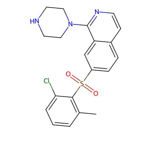 Cc1cccc(Cl)c1S(=O)(=O)c1ccc2ccnc(N3CCNCC3)c2c1